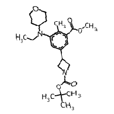 CCN(c1cc(C2CN(C(=O)OC(C)(C)C)C2)cc(C(=O)OC)c1C)C1CCOCC1